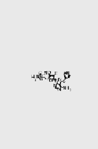 Nc1ncnc2c1c(Sc1ccncc1)nn2[C@@H]1O[C@H](COS(N)(=O)=O)[C@@H](O)[C@@H]1F